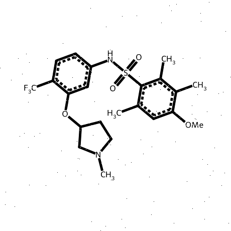 COc1cc(C)c(S(=O)(=O)Nc2ccc(C(F)(F)F)c(OC3CCN(C)C3)c2)c(C)c1C